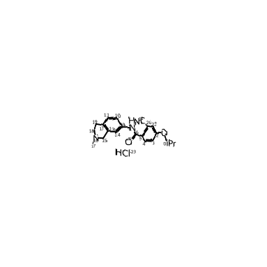 CC(C)Oc1ccc(C(=O)Nc2ccc3c(c2)CN(C)CC3)c(C#N)c1.Cl